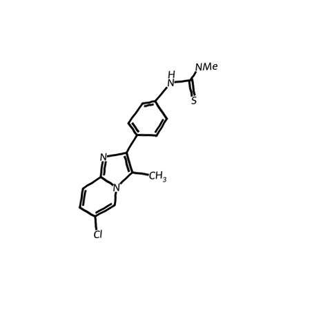 CNC(=S)Nc1ccc(-c2nc3ccc(Cl)cn3c2C)cc1